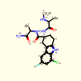 CCC(C)C(NC(=O)[C@@]1(NC(=O)C(NC(=O)O)C(C)CC)CCc2[nH]c3c(Cl)cc(F)cc3c2C1)C(N)=O